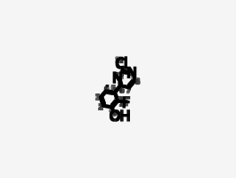 Oc1cccc(-c2ccnc(Cl)n2)c1F